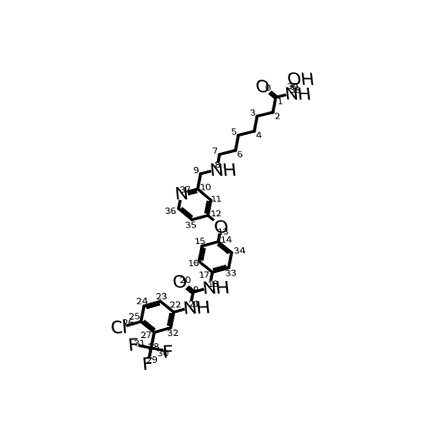 O=C(CCCCCCNCc1cc(Oc2ccc(NC(=O)Nc3ccc(Cl)c(C(F)(F)F)c3)cc2)ccn1)NO